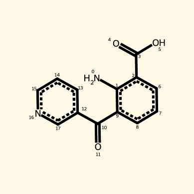 Nc1c(C(=O)O)cccc1C(=O)c1cccnc1